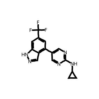 FC(F)(F)c1cc(-c2cnc(NC3CC3)nc2)c2cn[nH]c2c1